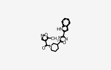 Cc1oncc1C(=O)N1CCCC(c2nc(-c3cc4ccccc4[nH]3)no2)C1